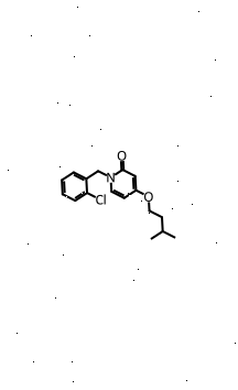 CC(C)CCOc1ccn(Cc2ccccc2Cl)c(=O)c1